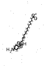 COC(=O)CCCCCCCCCCCCCCCNS(=O)(=O)c1ccc(N)cc1